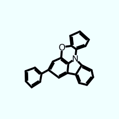 c1ccc(-c2cc3c4c(c2)c2ccccc2n4-c2ccccc2O3)cc1